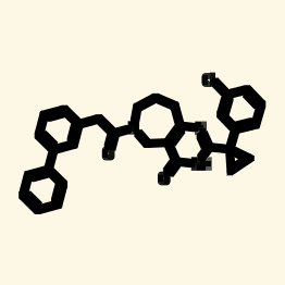 O=C(Cc1cccc(-c2ccccc2)c1)N1CCCc2nc(C3(c4cccc(Cl)c4)CC3)[nH]c(=O)c2C1